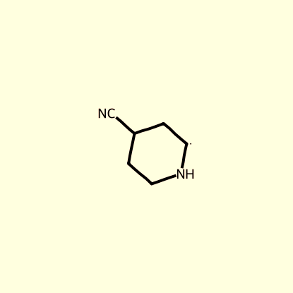 N#CC1C[CH]NCC1